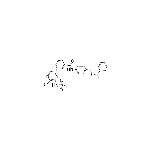 CC(OCc1ccc(NC(=O)c2cccc(-c3cnc(Cl)c(NS(C)(=O)=O)n3)c2)cc1)c1ccccc1